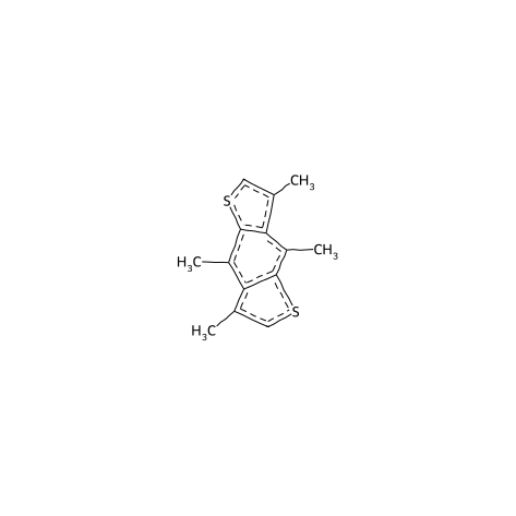 Cc1csc2c(C)c3c(C)csc3c(C)c12